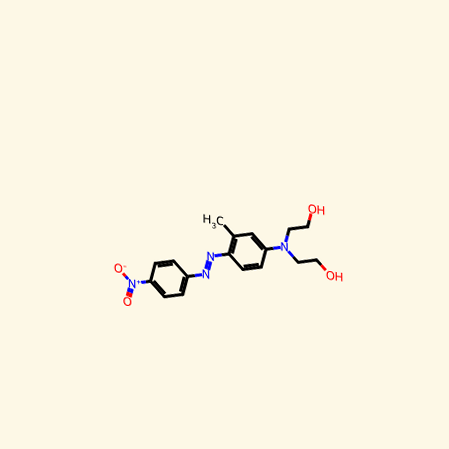 Cc1cc(N(CCO)CCO)ccc1N=Nc1ccc([N+](=O)[O-])cc1